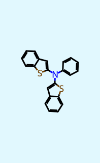 c1ccc(N(c2cc3ccccc3s2)c2cc3ccccc3s2)cc1